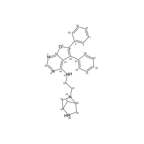 c1ccc(-c2oc3ncnc(NCCN4CC5CC4CN5)c3c2-c2ccccc2)cc1